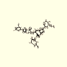 Cc1cc(-c2nc(C(=O)Nc3cc4oc(C5CNCCO5)nc4nc3N3CCCC(F)C3)co2)ccn1